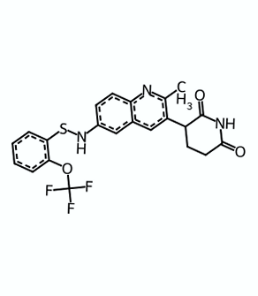 Cc1nc2ccc(NSc3ccccc3OC(F)(F)F)cc2cc1C1CCC(=O)NC1=O